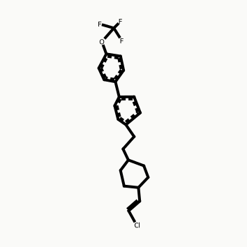 FC(F)(F)Oc1ccc(-c2ccc(CCC3CCC(/C=C/Cl)CC3)cc2)cc1